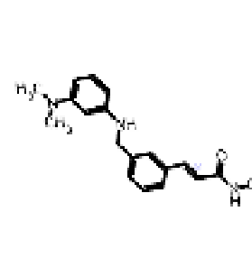 CN(C)c1cccc(NCc2cccc(/C=C/C(=O)NO)c2)c1